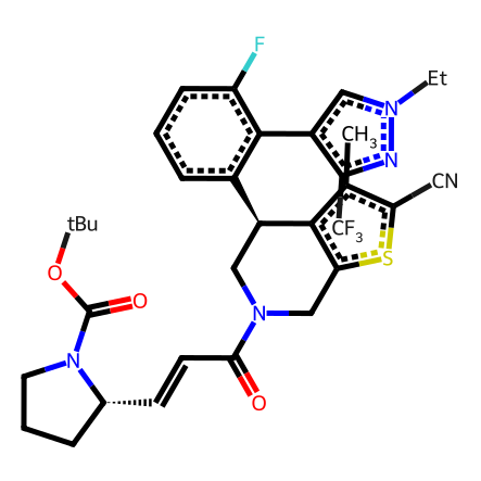 CCn1cc(-c2c(F)cccc2[C@@H]2CN(C(=O)/C=C/[C@@H]3CCCN3C(=O)OC(C)(C)C)Cc3sc(C#N)c(C)c32)c(C(F)(F)F)n1